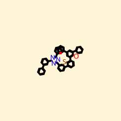 c1ccc(-c2cccc(-c3nc(-c4ccccc4)nc(-c4cccc5c4sc4c(-c6cc(-c7ccccc7)cc7c6oc6ccccc67)cccc45)n3)c2)cc1